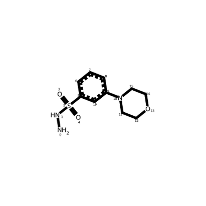 NNS(=O)(=O)c1cccc(N2CCOCC2)c1